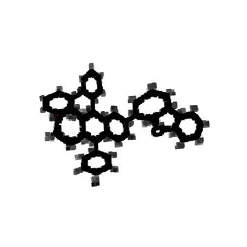 c1ccc(-c2ccccc2-c2c3ccccc3c(-c3ccccc3)c3ccc(-c4cccc5c4oc4ccccc45)cc23)cc1